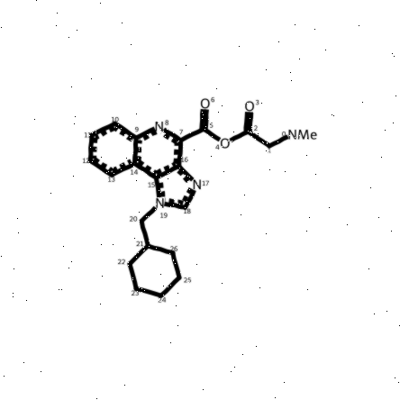 CNCC(=O)OC(=O)c1nc2ccccc2c2c1ncn2CC1CCCCC1